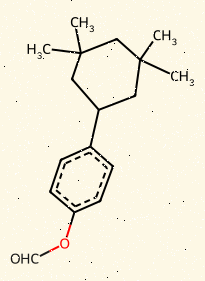 CC1(C)CC(c2ccc(OC=O)cc2)CC(C)(C)C1